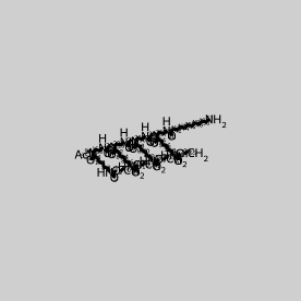 C=CCOC(=O)NCCCCCC(=O)N(CCNC(=O)CN(CCNC(=O)CN(CCNC(=O)CN(CCNC(=O)CCCCCCCCCCN)C(=O)CCCCCNC(=O)OCC=C)C(=O)CCCCCNC(=O)OCC=C)C(=O)CCCCCNC(=O)OCC=C)CC(C)=O